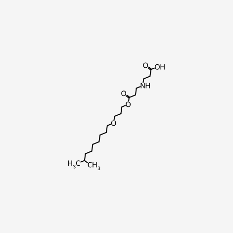 CC(C)CCCCCCCOCCCOC(=O)CCNCCC(=O)O